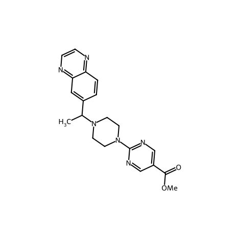 COC(=O)c1cnc(N2CCN(C(C)c3ccc4nccnc4c3)CC2)nc1